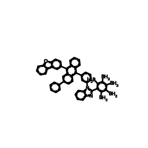 Bc1c(B)c(B)c(-c2nc3ccccc3n2-c2cccc(-c3c4ccccc4c(-c4ccc5oc6ccccc6c5c4)c4cc(-c5ccccc5)ccc34)c2)c(B)c1B